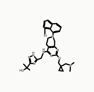 CCc1cccc2cccc(N3CCc4c(nc(OCC5(CN(C)C)CC5)nc4NCc4nc(C(C)(C)O)n[nH]4)C3)c12